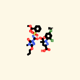 CC1(C(=O)O)CC(C(=O)O)=NN1c1ccc(Cl)cc1Cl.CCCOc1nn(/C([O-])=N/S(=O)(=O)c2ccccc2C(=O)OC)c(=O)n1C.[Na+]